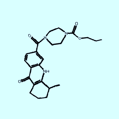 CCCOC(=O)N1CCN(C(=O)c2ccc3c(=O)c4c([nH]c3c2)C(C)CCC4)CC1